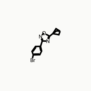 Brc1ccc(-c2noc(C34CC(C3)C4)n2)cc1